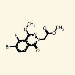 COC(=O)Cn1nc(OC)c2c(F)c(Br)ccc2c1=O